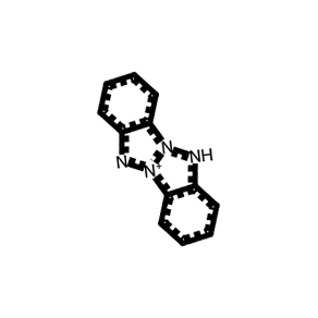 c1ccc2c(c1)n[n+]1c3ccccc3[nH]n21